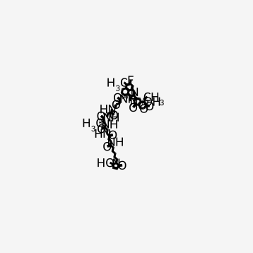 CC[C@@]1(O)C(=O)OCc2c1cc1n(c2=O)Cc2c-1nc1cc(F)c(C)c3c1c2[C@@H](NC(=O)COCNC(=O)CNC(=O)[C@H](C)NC(=O)CNC(=O)CNC(=O)CCCCCN1C(=O)C=CC1O)CC3